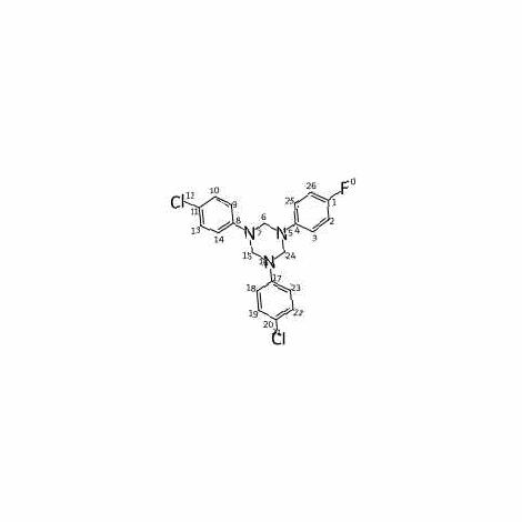 Fc1ccc(N2CN(c3ccc(Cl)cc3)CN(c3ccc(Cl)cc3)C2)cc1